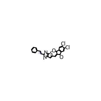 Cn1c(/C=C/c2ccccc2)nc2sc(C=C3C(=O)c4cc(Cl)c(Cl)cc4C3=O)cc21